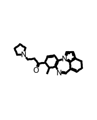 CC1C2=C(C=CC1C(=O)CCN1CCCC1)n1ccc3c1C(=CCC3)C=N2